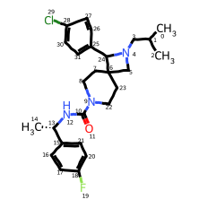 CC(C)CN1CC2(CCN(C(=O)N[C@@H](C)c3ccc(F)cc3)CC2)C1c1ccc(Cl)cc1